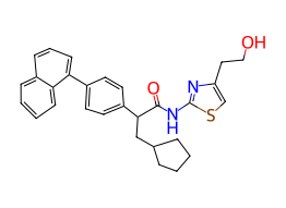 O=C(Nc1nc(CCO)cs1)C(CC1CCCC1)c1ccc(-c2cccc3ccccc23)cc1